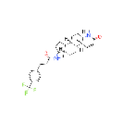 CN1C(=O)C=C[C@]2(C)[C@H]3CC[C@]4(C)[C@@H](NC(=O)CCc5ccc(C(F)(F)F)cc5)CC[C@H]4[C@@H]3CC[C@@H]12